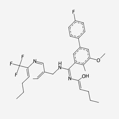 C\C=C(/C=N\C(=C\CCC)C(F)(F)F)CN/C(=N/C(O)=C/CCC)c1cc(-c2ccc(F)cc2)cc(OC)c1C